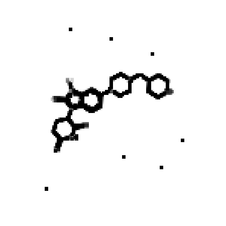 Cn1c(=O)n(C2CCC(=O)NC2=O)c2ccc(N3CCN(CC4CCNCC4)CC3)cc21